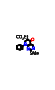 CCOC(=O)C1CN(C2CC3CCC2C3)c2nc(SC)ncc2C1=O